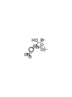 CC(C)(C)OC(=O)N[C@@H](Cc1ccc([N+](=O)[O-])cc1)C(O)CBr